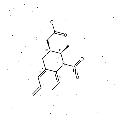 C=C/C=C1/C[C@@H](CC(=O)O)[C@@H](C)N([SH](=O)=O)/C1=C/C